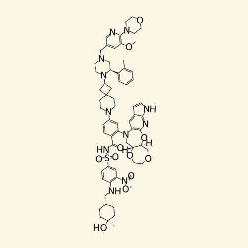 COc1cc(CN2CCN(C3CC4(CCN(c5ccc(C(=O)NS(=O)(=O)c6ccc(NC[C@H]7CC[C@](C)(O)CC7)c([N+](=O)[O-])c6)c(N6C[C@H]7OCCOC[C@@H]7Oc7nc8[nH]ccc8cc76)c5)CC4)C3)[C@H](c3ccccc3C)C2)cnc1N1CCOCC1